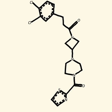 O=C(CCc1ccc(Cl)c(Cl)c1)N1CC(N2CCN(C(=O)c3nccs3)CC2)C1